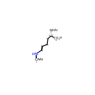 CONCCCC[C@H](NC(C)=O)C(=O)O